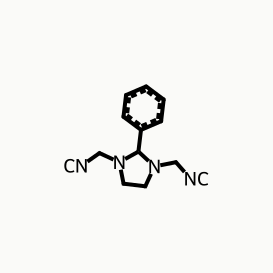 [C-]#[N+]CN1CCN(C[N+]#[C-])C1c1ccccc1